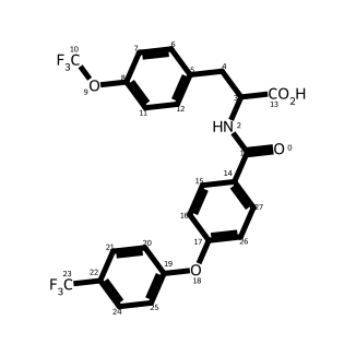 O=C(NC(Cc1ccc(OC(F)(F)F)cc1)C(=O)O)c1ccc(Oc2ccc(C(F)(F)F)cc2)cc1